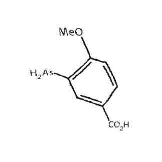 COc1ccc(C(=O)O)cc1[AsH2]